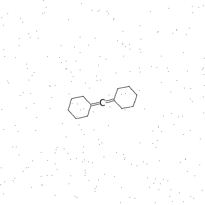 C(=C1CCCCC1)=C1CCCCC1